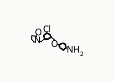 Nc1ccc(OCc2cc(Cl)cc(CN3CCCC3=O)c2)cc1